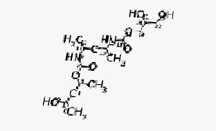 CC(O)=C=C(C)OC(=O)NC(C)=C=C(C)NC(=O)OCC(O)CO